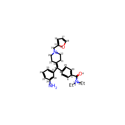 CCN(CC)C(=O)c1ccc(C(=C2CCN(Cc3ccco3)CC2)c2cccc(N)c2)cc1